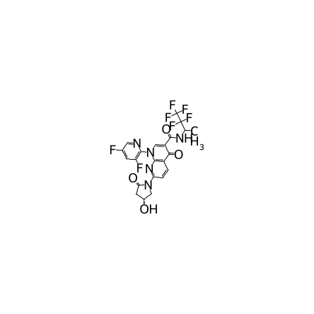 CC(NC(=O)c1cn(-c2ncc(F)cc2F)c2nc(N3C[C@@H](O)CC3=O)ccc2c1=O)C(F)(F)C(F)(F)F